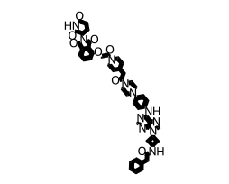 O=C1CC[C@H](N2C(=O)c3cccc(OCC(=O)N4CCC(CC(=O)N5CCN(c6ccc(Nc7ncnc8c7ncn8C7CC(NC(=O)Cc8ccccc8)C7)cc6)CC5)CC4)c3C2=O)C(=O)N1